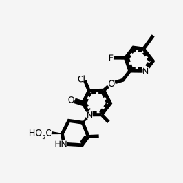 CC1=CN[C@@H](C(=O)O)C[C@H]1n1c(C)cc(OCc2ncc(C)cc2F)c(Cl)c1=O